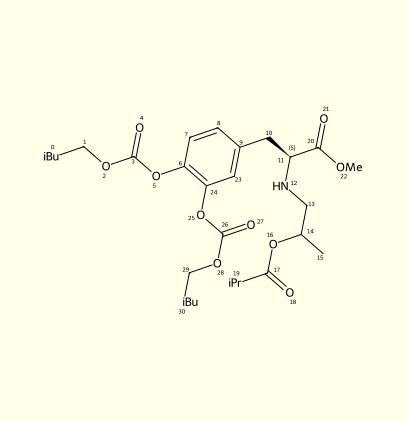 CCC(C)COC(=O)Oc1ccc(C[C@H](NCC(C)OC(=O)C(C)C)C(=O)OC)cc1OC(=O)OCC(C)CC